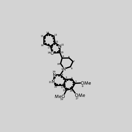 COc1cc2c(N3CCCC(c4nc5ccccc5o4)C3)nncc2c(OC)c1OC